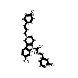 N#Cc1ccc2c3c(n(C(=O)NCc4ccnc(F)c4)c2c1)CCN(C/C=C/c1ccc(Cl)cc1)C3